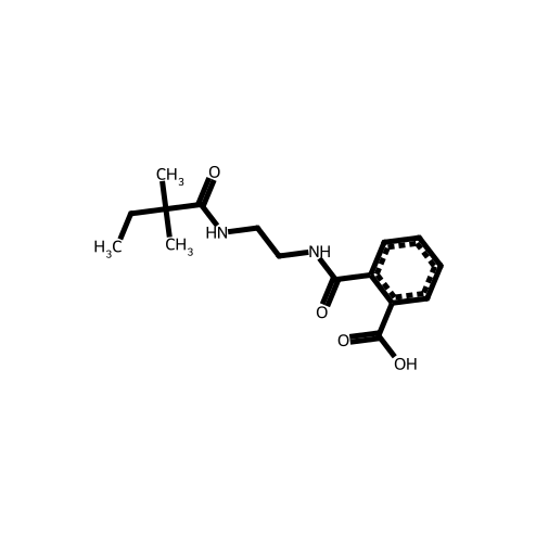 CCC(C)(C)C(=O)NCCNC(=O)c1ccccc1C(=O)O